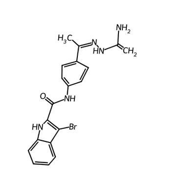 C=C(N)N/N=C(/C)c1ccc(NC(=O)c2[nH]c3ccccc3c2Br)cc1